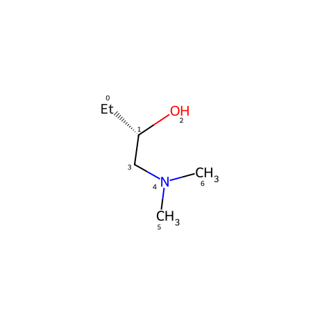 CC[C@H](O)CN(C)C